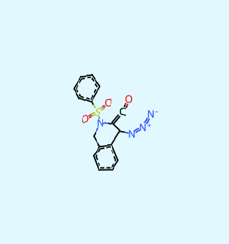 [N-]=[N+]=NC1C(=C=O)N(S(=O)(=O)c2ccccc2)Cc2ccccc21